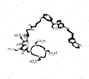 O=C(O)CC(c1cncc(OCCCC(=O)NCCNC(=O)[C@H](CS(=O)(=O)O)NC(=O)[C@H](CS(=O)(=O)O)NC(=O)CN2CCN(CC(=O)O)CCN(CC(=O)O)CCN(CC(=O)O)CC2)c1)n1ccc2cc(OCCc3ccc4c(n3)NCCC4)ccc21